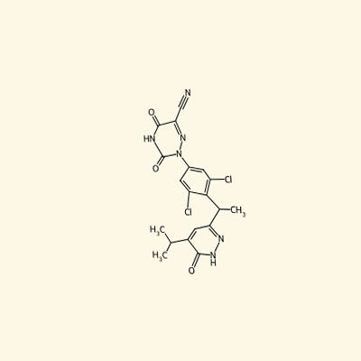 CC(C)c1cc(C(C)c2c(Cl)cc(-n3nc(C#N)c(=O)[nH]c3=O)cc2Cl)n[nH]c1=O